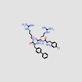 N=C(N)NCCCCNC(=O)[C@H](Cc1ccc(-c2ccccc2)cc1)NC(=O)[C@H](CCCNC(=N)N)NC(=O)[C@@H](N)Cc1ccc(Cl)cc1